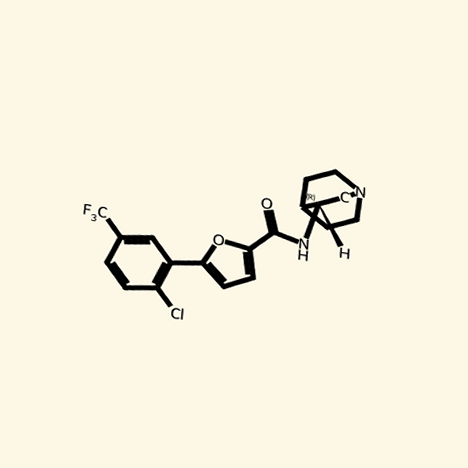 O=C(N[C@H]1CN2CCC1CC2)c1ccc(-c2cc(C(F)(F)F)ccc2Cl)o1